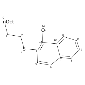 CCCCCCCCCCSc1ccc2ccccc2c1[O]